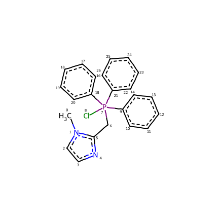 Cn1ccnc1CP(Cl)(c1ccccc1)(c1ccccc1)c1ccccc1